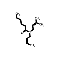 C/C=C\CN(CC=C(C)C)C(=O)CCCCC